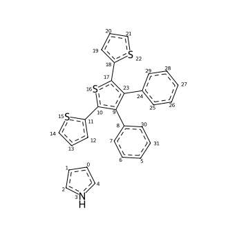 c1cc[nH]c1.c1ccc(-c2c(-c3cccs3)sc(-c3cccs3)c2-c2ccccc2)cc1